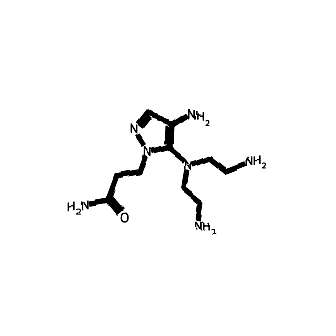 NCCN(CCN)c1c(N)cnn1CCC(N)=O